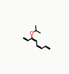 C=C/C=C\C=C(/C=C)OC(C)C